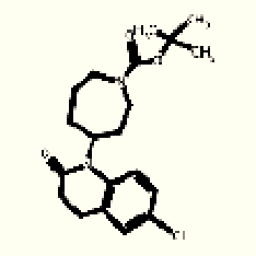 CC(C)(C)OC(=O)N1CCC[C@H](N2C(=O)CCc3cc(Cl)ccc32)CC1